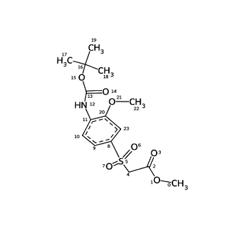 COC(=O)CS(=O)(=O)c1ccc(NC(=O)OC(C)(C)C)c(OC)c1